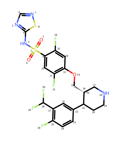 O=S(=O)(Nc1ncns1)c1cc(F)c(OC[C@@H]2CNCCC2c2ccc(F)c(C(F)F)c2)cc1F